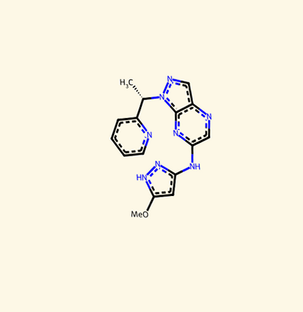 COc1cc(Nc2cnc3cnn([C@@H](C)c4ccccn4)c3n2)n[nH]1